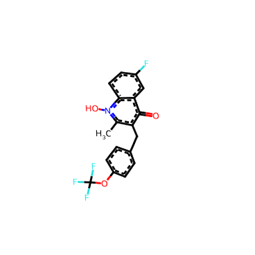 Cc1c(Cc2ccc(OC(F)(F)F)cc2)c(=O)c2cc(F)ccc2n1O